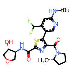 C[C@H]1CCCN1C(=O)c1nc(C(=O)N[C@H]2COC[C@@H]2O)sc1-c1cnc(NC(C)(C)C)cc1C(F)F